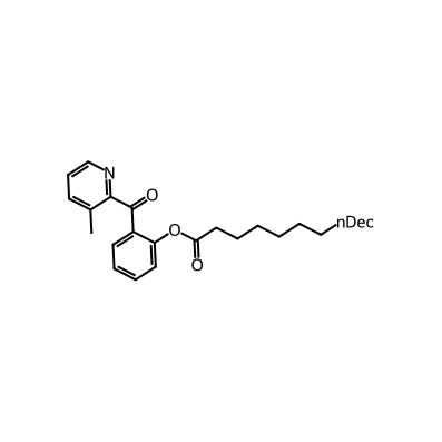 CCCCCCCCCCCCCCCCC(=O)Oc1ccccc1C(=O)c1ncccc1C